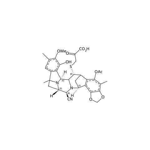 COc1c(C)cc2c(c1O)[C@H]1C3[C@H](SCC(=O)C(=O)O)C4C[C@@H](c5c6c(c(C)c(OC(C)=O)c54)OCO6)N3[C@@H](C#N)[C@@H]3CC2(C)N13